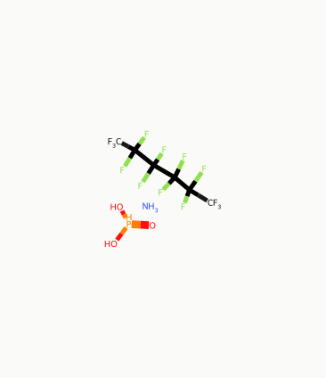 FC(F)(F)C(F)(F)C(F)(F)C(F)(F)C(F)(F)C(F)(F)F.N.O=[PH](O)O